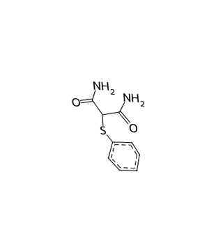 NC(=O)C(Sc1ccccc1)C(N)=O